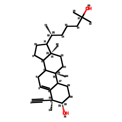 C#C[C@@]1(C)C2=CCC3C4CCC([C@H](C)CCCC(C)(C)O)[C@@]4(C)CC[C@@]3(C)C2CC[C@@H]1O